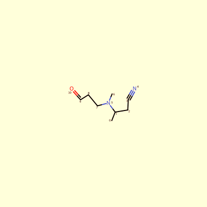 CC(CC#N)N(C)CCC=O